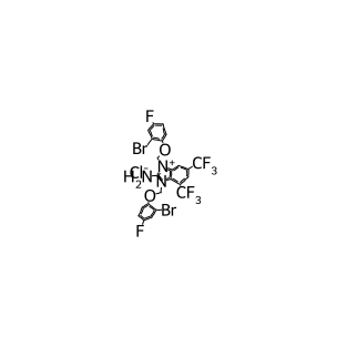 Nc1n(COc2ccc(F)cc2Br)c2c(C(F)(F)F)cc(C(F)(F)F)cc2[n+]1COc1ccc(F)cc1Br.[Cl-]